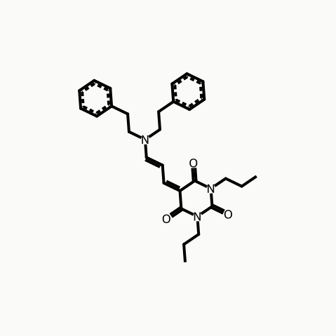 CCCN1C(=O)C(=C/C=C/N(CCc2ccccc2)CCc2ccccc2)C(=O)N(CCC)C1=O